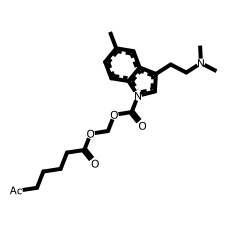 CC(=O)CCCCC(=O)OCOC(=O)n1cc(CCN(C)C)c2cc(C)ccc21